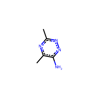 Cc1nnc(N)c(C)n1